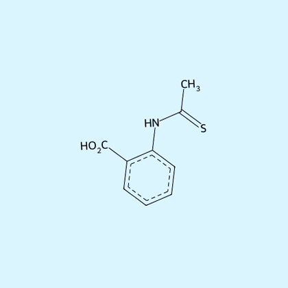 CC(=S)Nc1ccccc1C(=O)O